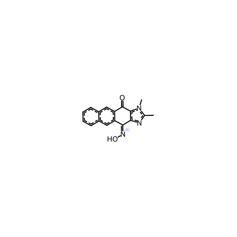 Cc1nc2c(n1C)C(=O)c1cc3ccccc3cc1/C2=N\O